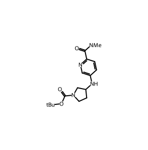 CNC(=O)c1ccc(NC2CCN(C(=O)OC(C)(C)C)C2)cn1